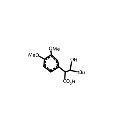 CCCCC(O)C(C(=O)O)c1ccc(OC)c(OC)c1